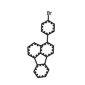 Brc1ccc(-c2ccc3c4c(cccc24)-c2ccccc2-3)cc1